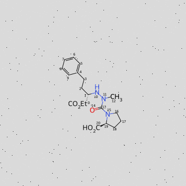 CCOC(=O)[C@H](CCc1ccccc1)NN(C)C(=O)N1CCC[C@H]1C(=O)O